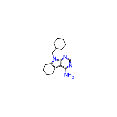 Nc1ncnc2c1c1c(n2CC2CCCCC2)CCCC1